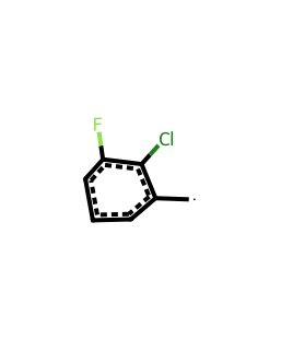 [CH2]c1cccc(F)c1Cl